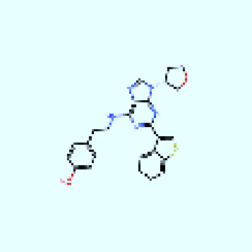 Oc1ccc(CCNc2nc(-c3csc4c3=CCCC=4)nc3c2ncn3[C@@H]2CCOC2)cc1